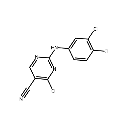 N#Cc1cnc(Nc2ccc(Cl)c(Cl)c2)nc1Cl